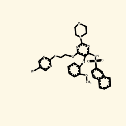 COc1ccccc1Oc1c(NS(=O)(=O)c2ccc3ccccc3c2)nc(N2CCOCC2)nc1OCCOc1ncc(Br)cn1